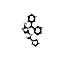 O=C(Oc1cnc(S)n1C(c1ccccc1)c1ccccc1)N1CCCC1